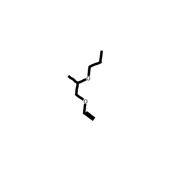 C=COCC(C)OC[CH]C